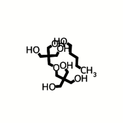 CCCCCO.OCC(CO)(CO)COCC(CO)(CO)CO